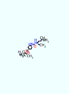 B/C(C)=C/C=C(\C=C)NC(=O)Nc1ccc(B2OC(C)(C)C(C)(C)O2)cc1